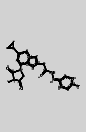 CN1C(=O)CN(c2cc(C3CC3)cn3cc(CC(=O)N/N=c4\cnc(Br)c[nH]4)nc23)C1=O